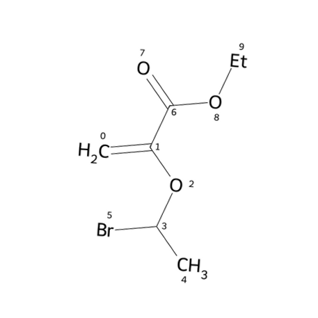 C=C(OC(C)Br)C(=O)OCC